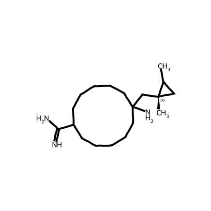 CC1C[C@]1(C)CC1(N)CCCCCC(C(=N)N)CCCCC1